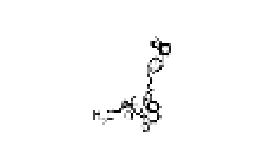 CCCC1CC1(C)C(=O)OCN1C(=O)CCc2ccc(OCCCCN3CCN(c4cccc5sccc45)CC3)cc21